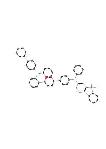 CC1(C)C2=C(CCC(N(c3ccccc3)c3ccc(-c4ccc(-c5ccccc5N(c5ccccc5)c5ccc(-c6ccccc6)cc5)cc4)cc3)=C2)c2ccccc21